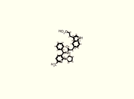 Cc1ccc(C(NC(=O)Cc2ccc3[nH]cc(CCC(=O)O)c3c2)c2ccccc2)c(N2CCCC2)n1